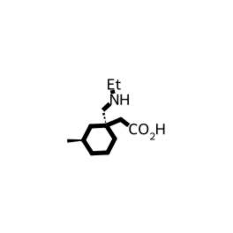 CCNC[C@]1(CC(=O)O)CCC[C@@H](C)C1